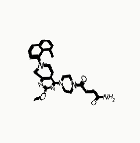 COc1nc2c(c(N3CCN(C(=O)/C=C/C(N)=O)CC3)n1)CCN(c1cccc3cccc(C)c13)C2